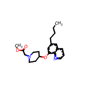 CCCCc1cc(OC2CCN(CC(=O)OC)CC2)c2ncccc2c1